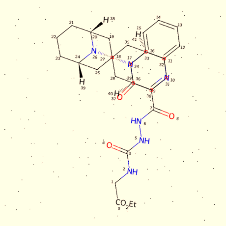 CCOC(=O)CNC(=O)NNC(=O)c1nc2ccccc2n([C@H]2C[C@H]3CCC[C@@H](C2)N3[C@H]2C[C@@H]3CCC[C@@H](C3)C2)c1=O